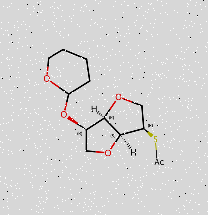 CC(=O)S[C@@H]1CO[C@H]2[C@@H]1OC[C@H]2OC1CCCCO1